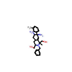 CC1(CO)C2=CC(N)(c3cccc(C(F)(F)F)c3)C(N)CC2CC(CO)N1Cc1ccccc1